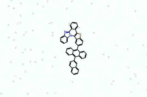 c1ccc2cc(-c3c4ccccc4c(-c4ccc5sc6c7ccccc7c7nc8ccccc8n7c6c5c4)c4ccccc34)ccc2c1